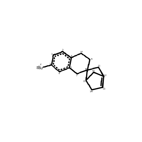 CC(C)(C)c1ccc2c(c1)CC1(CC2)CC2=CCC1C2